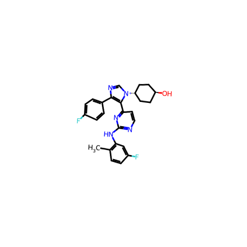 Cc1ccc(F)cc1Nc1nccc(-c2c(-c3ccc(F)cc3)ncn2[C@H]2CC[C@H](O)CC2)n1